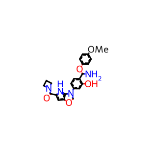 COc1ccc(OC(N)c2ccc(N3COc4cc(C(=O)N5CCC5)[nH]c43)cc2O)cc1